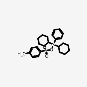 Cc1ccc(S(=O)(=O)OS(c2ccccc2)(C2CCCCC2)C2CCCCC2)cc1